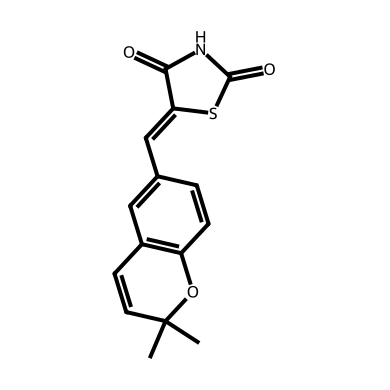 CC1(C)C=Cc2cc(/C=C3\SC(=O)NC3=O)ccc2O1